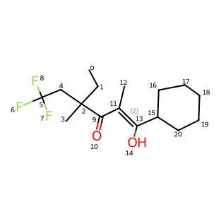 CCC(C)(CC(F)(F)F)C(=O)/C(C)=C(\O)C1CCCCC1